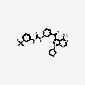 Nc1ncnc2c1c(C(=O)c1cccc(NC(=O)Nc3cccc(C(F)(F)F)c3)c1)cn2C1CCCC1